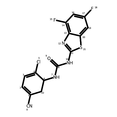 N#CC1=CC=C(Cl)C(NC(=O)Nc2nc3c(F)cc(F)cc3s2)C1